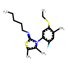 Cc1cc(F)c(-n2c(C)c(C)s/c2=N\CCCCC(F)(F)F)cc1SCC(F)(F)F